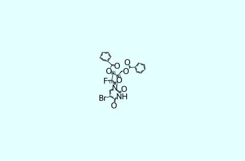 O=C(OC[C@H]1O[C@@H](n2cc(Br)c(=O)[nH]c2=O)[C@@H](F)[C@@H]1OC(=O)c1ccccc1)c1ccccc1